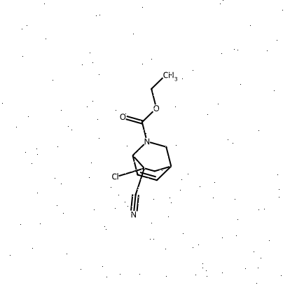 CCOC(=O)N1CC2C=CC1C(Cl)(C#N)C2